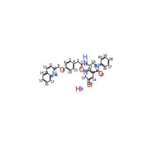 I.O=C(Cc1ccc(OCc2ccc3ccccc3n2)cc1)NCCN(C(=O)c1cncc(Br)c1)c1ccccc1